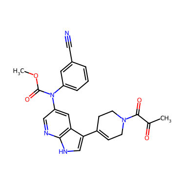 COC(=O)N(c1cccc(C#N)c1)c1cnc2[nH]cc(C3=CCN(C(=O)C(C)=O)CC3)c2c1